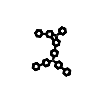 c1ccc(-c2ccc(N(c3ccc(-c4ccccc4)cc3)c3ccc(-c4ccc5c(c4)c4cc(-c6ccccc6)ccc4n5-c4ccccc4)cc3)cc2)cc1